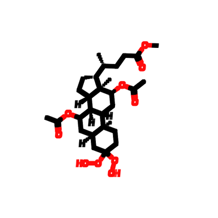 COC(=O)CC[C@@H](C)[C@H]1CC[C@H]2[C@@H]3C(OC(C)=O)C[C@@H]4CC(OO)(OO)CC[C@]4(C)[C@H]3C[C@H](OC(C)=O)[C@]12C